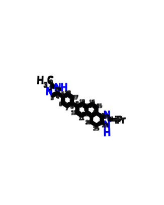 Cc1ncc(-c2ccc(-c3ccc4c5c(ccc4c3)-c3nc(C(C)C)[nH]c3CC5)cc2)[nH]1